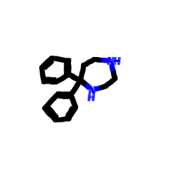 c1ccc(C2(c3ccccc3)CCNCCN2)cc1